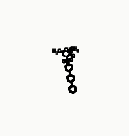 C=C(C)C[C@H](C(=O)OC)S(=O)(=O)N1CC=C(c2ccc(-c3ccccc3)cc2)CC1